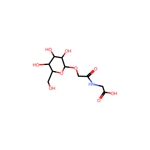 O=C(O)CNC(=O)COC1OC(CO)C(O)C(O)C1O